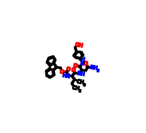 CC[C@H](C)[C@H](NC(=O)OCC1c2ccccc2-c2ccccc21)C(=O)NC(CC(N)=O)C(=O)Nc1ccc(CO)cc1